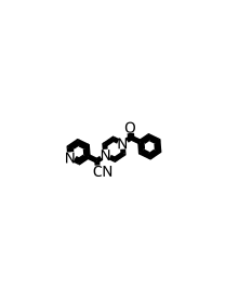 N#CC(c1cccnc1)N1CCN(C(=O)c2ccccc2)CC1